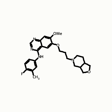 COc1cc2ncnc(Nc3ccc(F)c(C)c3)c2cc1OCCCN1CCC2COCC2C1